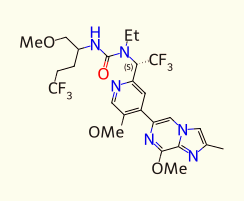 CCN(C(=O)NC(CCC(F)(F)F)COC)[C@@H](c1cc(-c2cn3cc(C)nc3c(OC)n2)c(OC)cn1)C(F)(F)F